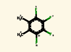 Cc1c(C)c(F)c(F)c(F)c1F